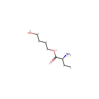 CC[C@H](N)C(=O)OCCCCO